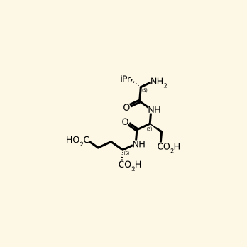 CC(C)[C@H](N)C(=O)N[C@@H](CC(=O)O)C(=O)N[C@@H](CCC(=O)O)C(=O)O